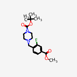 COC(=O)c1ccc(CN2CCN(C(=O)OC(C)(C)C)CC2)c(F)c1